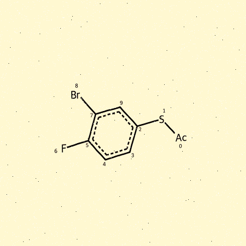 CC(=O)Sc1ccc(F)c(Br)c1